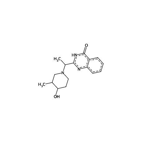 CC1CN(C(C)c2nc3ccccc3c(=O)[nH]2)CCC1O